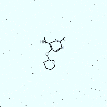 CNc1nc(Cl)ncc1OC1C[CH]CCO1